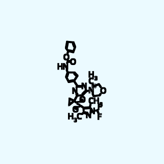 Cc1nn(C(F)F)c(C)c1S(=O)(=O)C1(c2cc(N3CCOC[C@@H]3C)nc(-c3ccc(NC(=O)Oc4ccccc4)cc3)n2)CC1